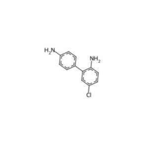 Nc1ccc(-c2cc(Cl)ccc2N)cc1